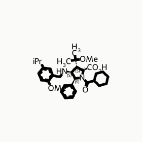 COc1ccc(C(C)C)cc1CN[C@H]1[C@H](C(C)(C)OC)[C@@H](C(=O)O)N(C(=O)C2CCCCC2)[C@H]1c1ccccc1